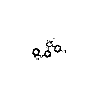 N#Cc1ccccc1Oc1cccc([C@H]2COC(=O)N2c2ccc(Cl)cc2)c1